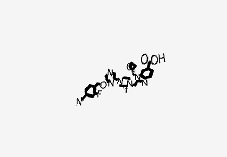 C[C@H]1CN(c2cncc(OCc3ccc(C#N)cc3F)n2)CCN1Cc1nc2ccc(C(=O)O)cc2n1C[C@@H]1CCO1